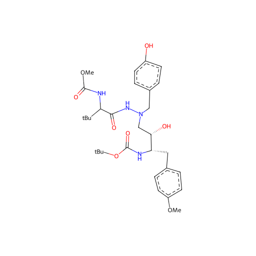 COC(=O)NC(C(=O)NN(Cc1ccc(O)cc1)C[C@H](O)[C@H](Cc1ccc(OC)cc1)NC(=O)OC(C)(C)C)C(C)(C)C